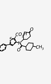 CC1CCC(C(=O)N(c2cc(-c3ccccc3)sc2C(=O)O)C2CCC(=O)CC2)CC1